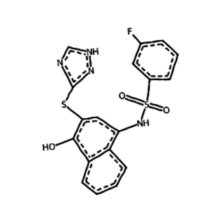 O=S(=O)(Nc1cc(Sc2nc[nH]n2)c(O)c2ccccc12)c1cccc(F)c1